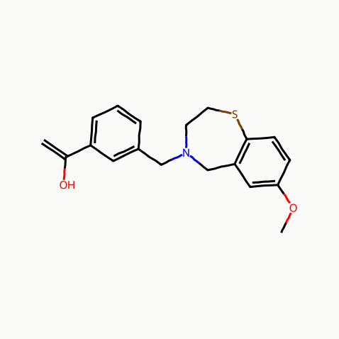 C=C(O)c1cccc(CN2CCSc3ccc(OC)cc3C2)c1